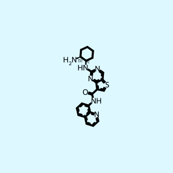 N[C@H]1CCCC[C@H]1Nc1ncc2scc(C(=O)Nc3cccc4cccnc34)c2n1